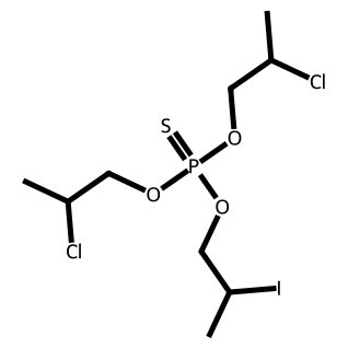 CC(Cl)COP(=S)(OCC(C)Cl)OCC(C)I